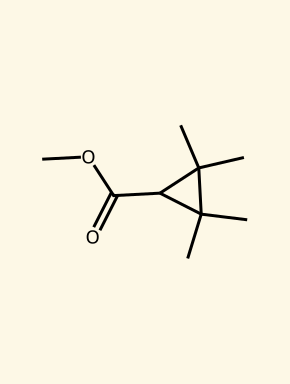 COC(=O)C1C(C)(C)C1(C)C